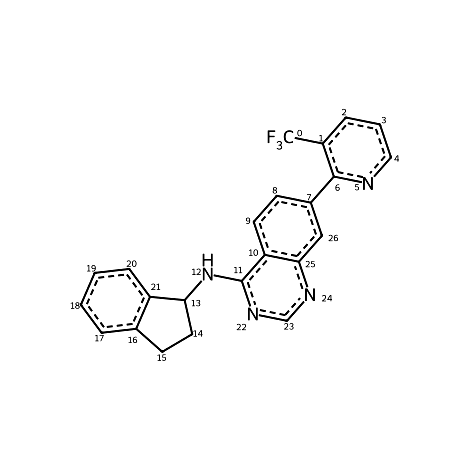 FC(F)(F)c1cccnc1-c1ccc2c(NC3CCc4ccccc43)ncnc2c1